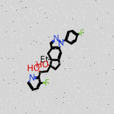 CC[C@]12Cc3cnn(-c4ccc(F)cc4)c3C=C1CC[C@@]2(O)CC(O)c1ncccc1F